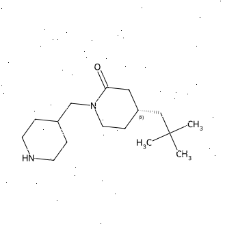 CC(C)(C)C[C@@H]1CCN(CC2CCNCC2)C(=O)C1